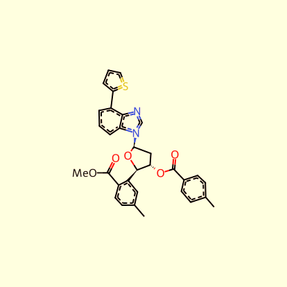 COC(=O)c1ccc(C)cc1[C@H]1O[C@@H](n2cnc3c(-c4cccs4)cccc32)C[C@@H]1OC(=O)c1ccc(C)cc1